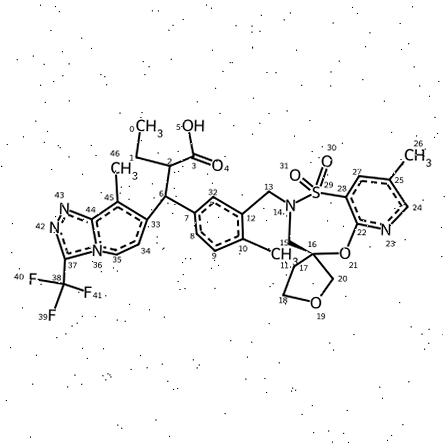 CCC(C(=O)O)C(c1ccc(C)c(CN2C[C@@]3(CCOC3)Oc3ncc(C)cc3S2(=O)=O)c1)c1ccn2c(C(F)(F)F)nnc2c1C